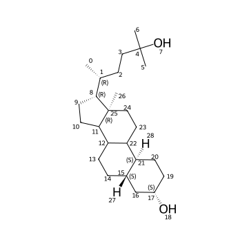 C[C@H](CCC(C)(C)O)[C@H]1CCC2C3CC[C@H]4C[C@@H](O)CC[C@@H]4C3CC[C@@]21C